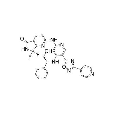 O=C1NC(F)(F)c2nc(Nc3cc(N[C@H](CO)c4ccccc4)c(-c4nc(-c5ccncc5)no4)cn3)ccc21